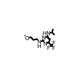 COCCCNc1nc(NC(C)C)cc(C(F)(F)F)n1